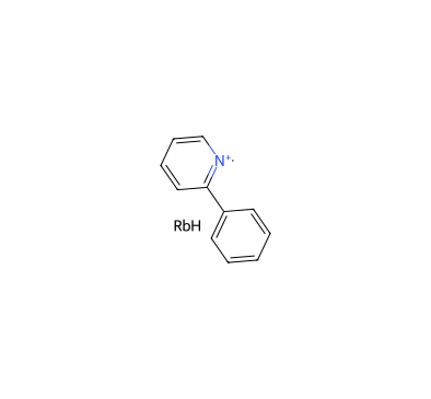 C1=C[N+]=C(c2ccccc2)C=C1.[RbH]